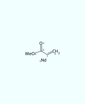 C=CC(=O)OC.[Nd]